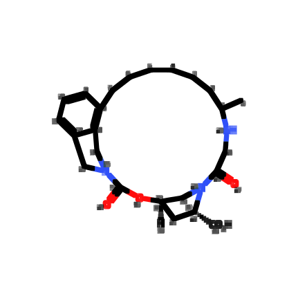 CC1CCCCCCc2cccc3c2CN(C3)C(=O)O[C@@H]2C[C@@H](C(=O)O)N(C2)C(=O)CN1